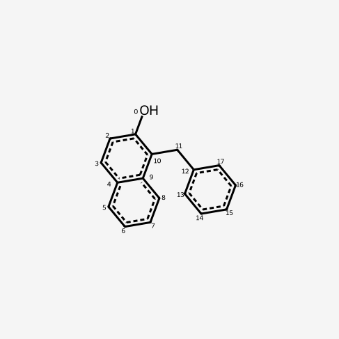 Oc1ccc2ccccc2c1Cc1ccccc1